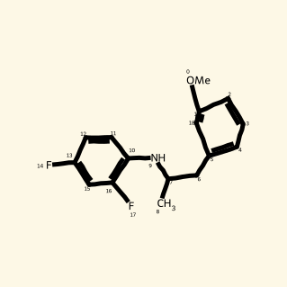 COc1cccc(CC(C)Nc2ccc(F)cc2F)c1